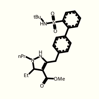 CCCN1NC(Cc2ccc(-c3ccccc3S(=O)(=O)NC(C)(C)C)cc2)=C(C(=O)OC)C1CC